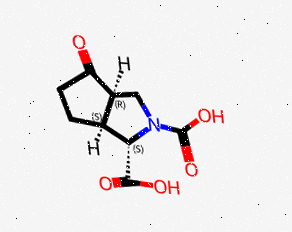 O=C1CC[C@H]2[C@@H]1CN(C(=O)O)[C@@H]2C(=O)O